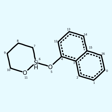 c1ccc2c(O[SiH]3CCCCO3)cccc2c1